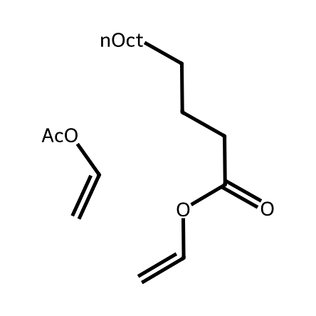 C=COC(=O)CCCCCCCCCCC.C=COC(C)=O